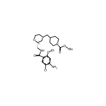 CCOc1cc(N)c(Cl)cc1C(=O)NC[C@H]1CN(CC2CCN(C(=O)OC(C)(C)C)CC2)CCO1